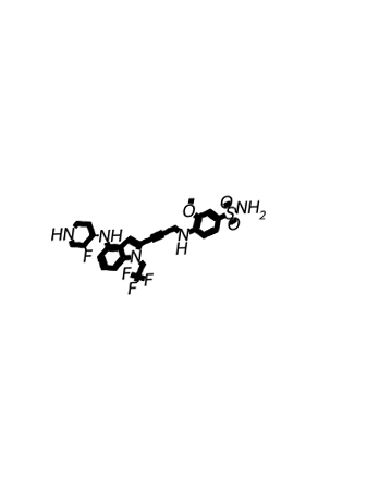 COc1cc(S(N)(=O)=O)ccc1NCC#Cc1cc2c(N[C@H]3CCNC[C@H]3F)cccc2n1CC(F)(F)F